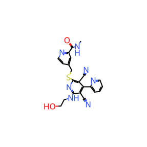 CNC(=O)c1cc(CSc2nc(NCCO)c(C#N)c(-c3ccccn3)c2C#N)ccn1